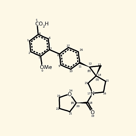 COc1ccc(C(=O)O)cc1-c1ccc([C@H]2C[C@]23CCN(C(=O)[C@H]2CCCO2)C3)cc1